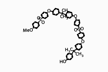 COc1ccc(S(=O)(=O)c2ccc(Oc3ccc(C(C)(C)c4ccc(Oc5ccc(S(=O)(=O)c6ccc(Oc7ccc(C(C)(C)c8ccc(O)cc8)cc7)cc6)cc5)cc4)cc3)cc2)cc1